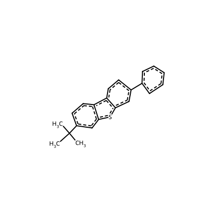 CC(C)(C)c1ccc2c(c1)sc1cc(-c3ccccc3)ccc12